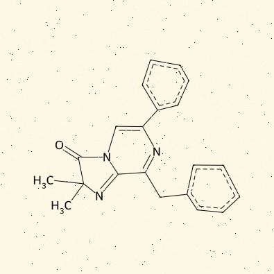 CC1(C)N=C2C(Cc3ccccc3)=NC(c3ccccc3)=CN2C1=O